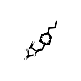 CCCc1ccc(C=C2OC(=O)NC2=O)cc1